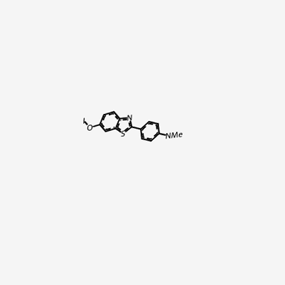 CNc1ccc(-c2nc3ccc(OI)cc3s2)cc1